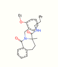 CCOc1ccccc1CN1C(=O)c2ccccc2CCC1(C)C(=O)NCCC(C)C